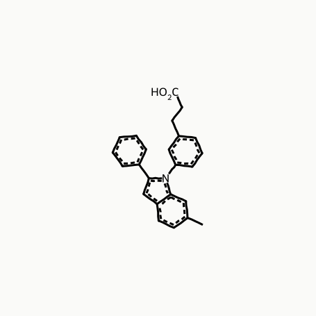 Cc1ccc2cc(-c3ccccc3)n(-c3cccc(CCC(=O)O)c3)c2c1